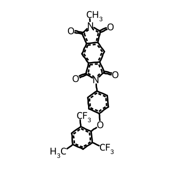 Cc1cc(C(F)(F)F)c(Oc2ccc(-n3c(=O)c4cc5c(=O)n(C)c(=O)c5cc4c3=O)cc2)c(C(F)(F)F)c1